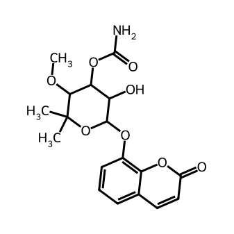 COC1C(OC(N)=O)C(O)C(Oc2cccc3ccc(=O)oc23)OC1(C)C